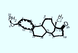 C[C@]12CCC3c4ccc(OP)cc4CCC3C1CCC2=O